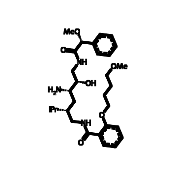 COCCCCOc1ccccc1C(=O)NC[C@@H](C[C@H](N)[C@@H](O)CNC(=O)[C@H](OC)c1ccccc1)C(C)C